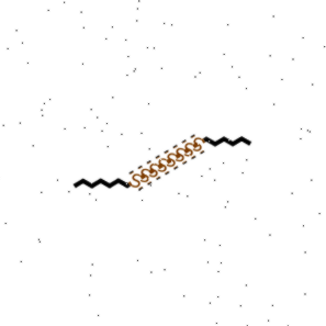 CCCCCCCS(C)(C)S(C)(C)S(C)(C)S(C)(C)S(C)(C)S(C)(C)S(C)(C)S(C)(C)CCCCCC